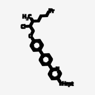 CCCCCCCc1ccc(-c2ccc(-c3ccc(OCC(Cl)C(C)CCCC(C)C)cc3)cc2)nc1